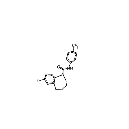 O=C(Nc1ccc(C(F)(F)F)cc1)N1CCCCc2cc(F)ccc21